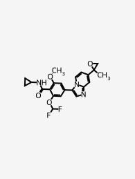 COc1cc(-c2cnc3cc(C4(C)CO4)ccn23)cc(OC(F)F)c1C(=O)NC1CC1